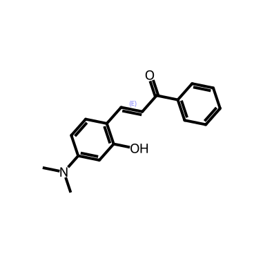 CN(C)c1ccc(/C=C/C(=O)c2ccccc2)c(O)c1